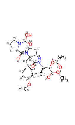 COC(=O)[C@H](OC(C)=O)[C@@H](C)NC(=O)C1(Cc2ccc(OC)cc2)CCCN1C(=O)C1CCCN1C(=O)O